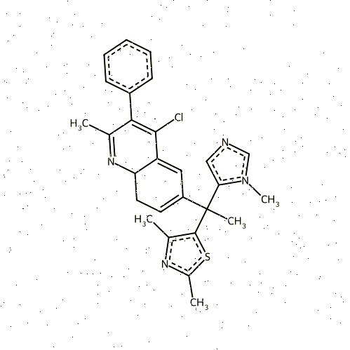 CC1=NC2CC=C(C(C)(c3sc(C)nc3C)c3cncn3C)C=C2C(Cl)=C1c1ccccc1